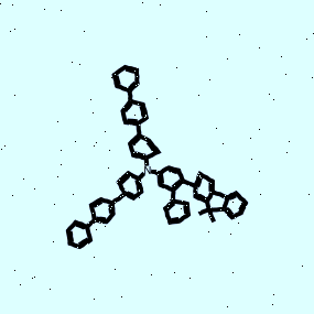 CC1(C)c2ccccc2-c2ccc(-c3ccc(N(c4ccc(-c5ccc(-c6ccccc6)cc5)cc4)c4ccc(-c5ccc(-c6ccccc6)cc5)cc4)cc3-c3ccccc3)cc21